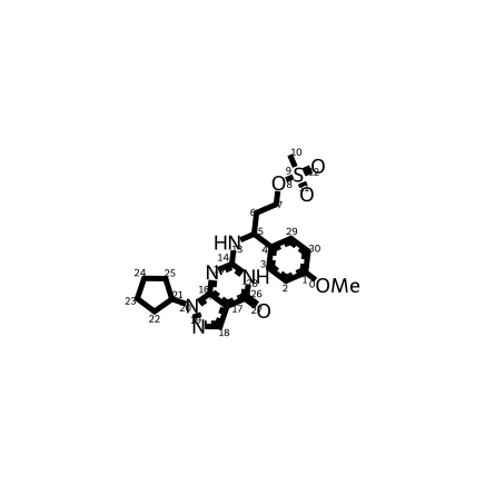 COc1ccc(C(CCOS(C)(=O)=O)Nc2nc3c(cnn3C3CCCC3)c(=O)[nH]2)cc1